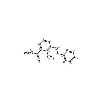 COC(=O)c1cccc(OCc2ccccc2)c1C